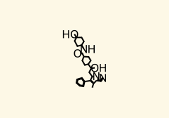 CC1=C(c2ccccc2)C(CC(O)C2CCC(C(=O)NC3CCC(O)CC3)CC2)n2cncc21